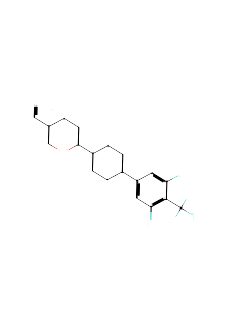 C=CC1CCC(C2CCC(c3cc(F)c(C(F)(F)F)c(F)c3)CC2)OC1